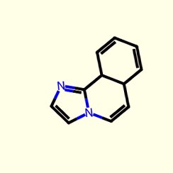 C1=CC2C=Cn3ccnc3C2C=C1